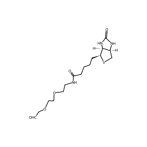 O=CCOCCOCCNC(=O)CCCC[C@@H]1SC[C@@H]2NC(=O)N[C@@H]21